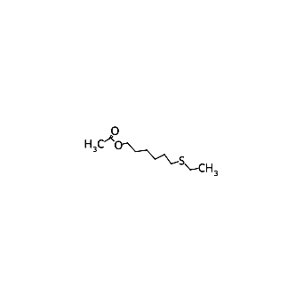 CCSCCCCCCOC(C)=O